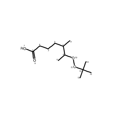 CC(CCCC(=O)O)C(C)OOC(C)(C)C